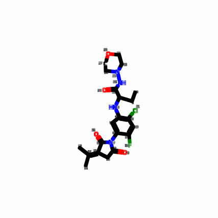 CCC(Nc1cc(N2C(=O)CC(=C(C)C)C2=O)c(F)cc1Cl)C(=O)NN1CCOCC1